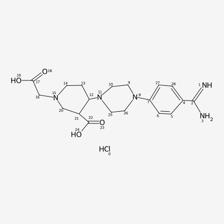 Cl.N=C(N)c1ccc(N2CCN(C3CCN(CC(=O)O)CC3C(=O)O)CC2)cc1